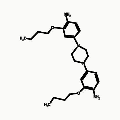 CCCCOc1cc(N2CCN(c3ccc(N)c(OCCCC)c3)CC2)ccc1N